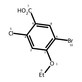 CCOc1cc(Cl)c(C(=O)O)cc1Br